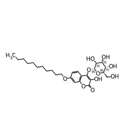 CCCCCCCCCCCOc1ccc2c(O[C@H]3O[C@H](CO)[C@@H](O)[C@H](O)[C@@H]3O)c(O)c(=O)oc2c1